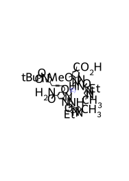 CCn1nc(C)cc1C(=O)Nc1nc2cc(C(=O)O)cc(OC)c2n1C/C=C/Cn1c(NC(=O)c2cc(C)nn2CC)nc2cc(C(N)=O)cc(OCC#CCC3CCN(C(=O)OC(C)(C)C)C3)c21